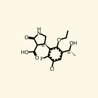 CCOc1c([C@@H](C)O)cc(Cl)c(F)c1[C@@H]1CNC(=O)C1C(=O)O